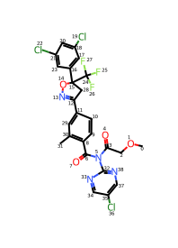 COCC(=O)N(C(=O)c1ccc(C2=NOC(c3cc(Cl)cc(Cl)c3)(C(F)(F)F)C2)cc1C)c1ncc(Cl)cn1